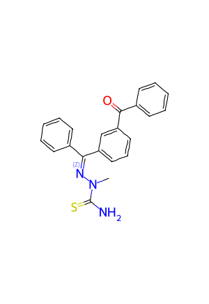 CN(/N=C(/c1ccccc1)c1cccc(C(=O)c2ccccc2)c1)C(N)=S